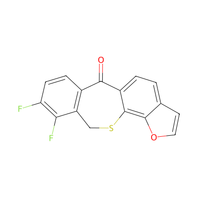 O=C1c2ccc(F)c(F)c2CSc2c1ccc1ccoc21